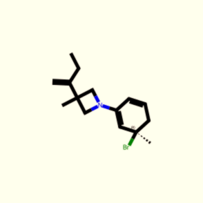 C=C(CC)C1(C)CN(C2=C[C@](C)(Br)CC=C2)C1